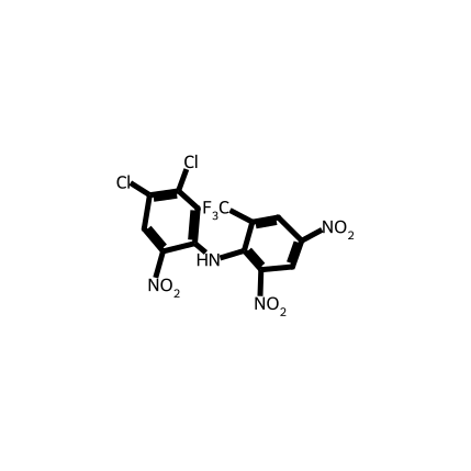 O=[N+]([O-])c1cc([N+](=O)[O-])c(Nc2cc(Cl)c(Cl)cc2[N+](=O)[O-])c(C(F)(F)F)c1